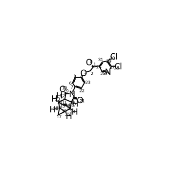 O=C(COc1ccc(N2C(=O)[C@@H]3[C@@H]4C=C[C@@H]([C@H]5C[C@@H]45)[C@@H]3C2=O)cc1)c1cnc(Cl)c(Cl)c1